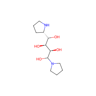 OC([C@@H]1CCCN1)[C@H](O)[C@@H](O)C(O)N1CCCC1